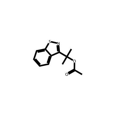 CC(=O)OC(C)(C)c1nsc2ccccc12